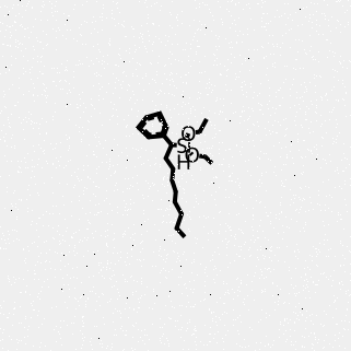 CCCCCCCCC(c1ccccc1)[SiH](OCC)OCC